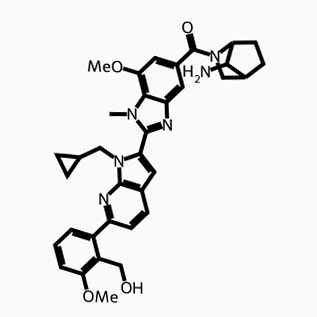 COc1cccc(-c2ccc3cc(-c4nc5cc(C(=O)N6CC7CCC6C7N)cc(OC)c5n4C)n(CC4CC4)c3n2)c1CO